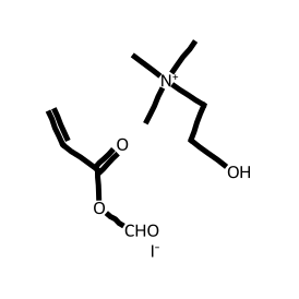 C=CC(=O)OC=O.C[N+](C)(C)CCO.[I-]